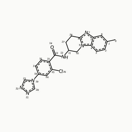 Cc1ccc2c(c1)nc1n2CC(NC(=O)c2ccc(-n3cnnc3)cc2Cl)CC1